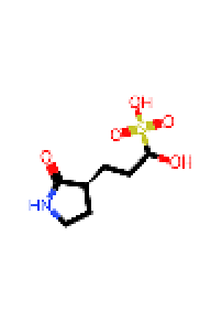 O=C1NCC[C@@H]1CCC(O)S(=O)(=O)O